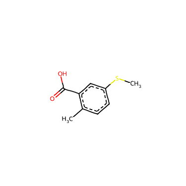 CSc1ccc(C)c(C(=O)O)c1